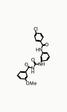 COc1cccc(C(=O)NC(=O)Nc2cccc(NC(=O)c3ccc(Cl)cc3)c2)c1